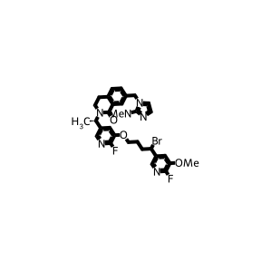 CNc1nccn1Cc1ccc2c(c1)C(=O)N([C@@H](C)c1cnc(F)c(OCCCC(Br)c3cnc(F)c(OC)c3)c1)CC2